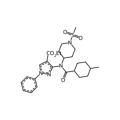 CCOC(=O)c1cn(-c2ccccc2)nc1N(C(=O)C1CCC(C)CC1)C1CCN(S(C)(=O)=O)CC1